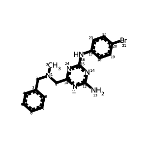 CN(Cc1ccccc1)Cc1nc(N)nc(Nc2ccc(Br)cc2)n1